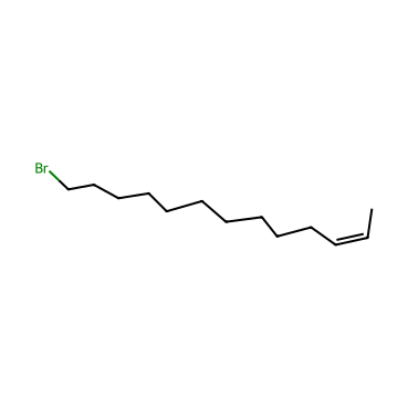 C/C=C\CCCCCCCCCCBr